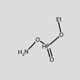 CCO[PH](=O)ON